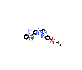 COC(=O)c1ccc(Nc2ncc(F)c(Nc3ccc(C(=O)Nc4ccccc4Cl)cn3)n2)cc1